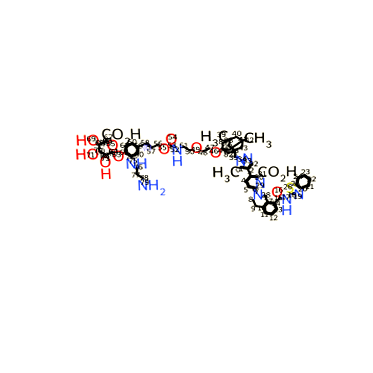 Cc1c(-c2ccc(N3CCc4cccc(C(=O)Nc5nc6ccccc6s5)c4C3)nc2C(=O)O)cnn1CC12CC3(C)CC(C)(C1)CC(OCCOCCNC(=O)OC/C=C/c1ccc(O[C@@H]4O[C@H](C(=O)O)[C@@H](O)[C@H](O)[C@H]4O)c(NCCCN)c1)(C3)C2